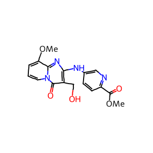 COC(=O)c1ccc(Nc2nc3c(OC)cccn3c(=O)c2CO)cn1